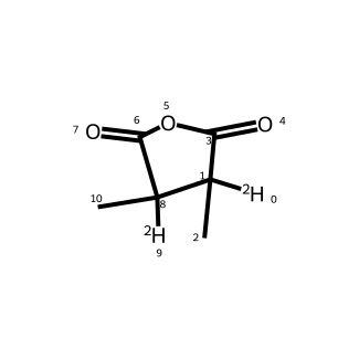 [2H]C1(C)C(=O)OC(=O)C1([2H])C